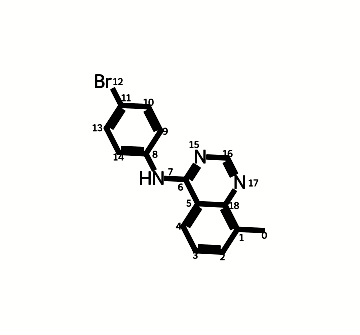 Cc1cccc2c(Nc3ccc(Br)cc3)ncnc12